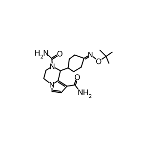 CC(C)(C)ON=C1CCC(C2c3c(C(N)=O)ccn3CCN2C(N)=O)CC1